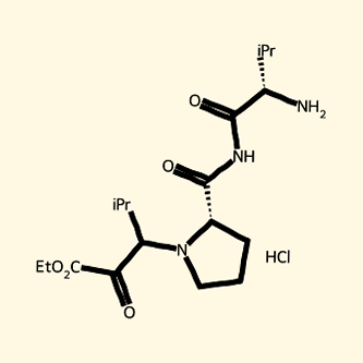 CCOC(=O)C(=O)C(C(C)C)N1CCC[C@H]1C(=O)NC(=O)[C@@H](N)C(C)C.Cl